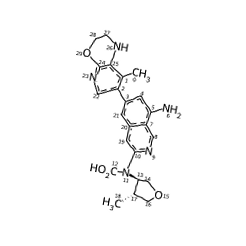 Cc1c(-c2cc(N)c3cnc(N(C(=O)O)[C@H]4COC[C@@H]4C)cc3c2)cnc2c1NCCO2